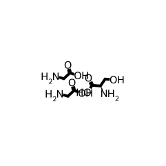 NCC(=O)O.NCC(=O)O.N[C@@H](CO)C(=O)O